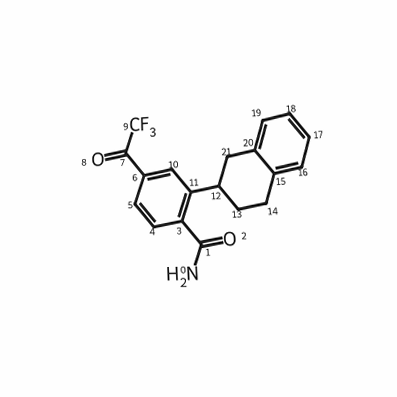 NC(=O)c1ccc(C(=O)C(F)(F)F)cc1C1CCc2ccccc2C1